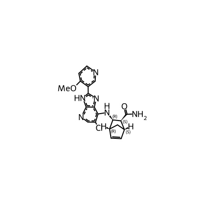 COc1ccncc1-c1nc2c(N[C@H]3[C@@H](C(N)=O)[C@@H]4C=C[C@H]3C4)c(Cl)cnc2[nH]1